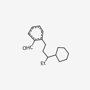 CCC(CCc1ccccc1C=O)C1CCCCC1